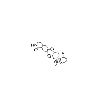 N[C@]1(c2c(F)cccc2F)CC[C@@H](Oc2cc3cc[nH]c(=O)c3cc2Cl)CC1